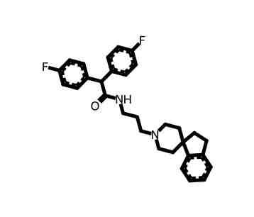 O=C(NCCCN1CCC2(CCc3ccccc32)CC1)C(c1ccc(F)cc1)c1ccc(F)cc1